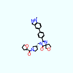 Cn1ncc2cc(-c3ccc(C4=NC5(CCOC5)C(=O)N4C[C@@H]4CCN(C(=O)[C@H]5CCCO5)C4)cc3)ccc21